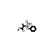 COC(=O)C(C)N(Oc1ccccc1)[PH](=O)Cl